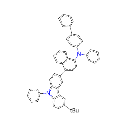 CC(C)(C)c1ccc2c(c1)c1cc(-c3ccc(N(c4ccccc4)c4ccc(-c5ccccc5)cc4)c4ccccc34)ccc1n2-c1ccccc1